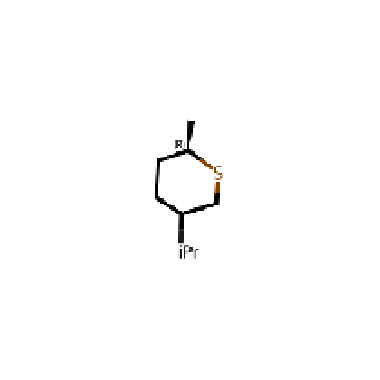 CC(C)C1CC[C@@H](C)SC1